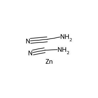 N#CN.N#CN.[Zn]